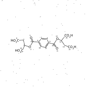 O=C(O)CC(OC(=O)c1ccc(C(=O)OC(CC(=O)O)C(=O)O)cc1)C(=O)O